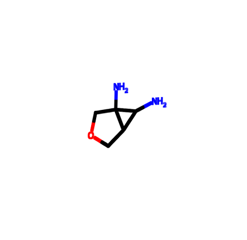 NC1C2COCC12N